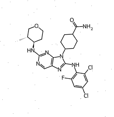 C[C@@H]1COCC[C@H]1Nc1ncc2nc(Nc3c(F)cc(Cl)cc3Cl)n(C3CCC(C(N)=O)CC3)c2n1